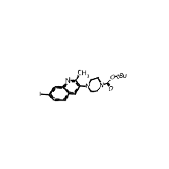 Cc1nc2cc(I)ccc2cc1N1CCN(C(=O)OC(C)(C)C)CC1